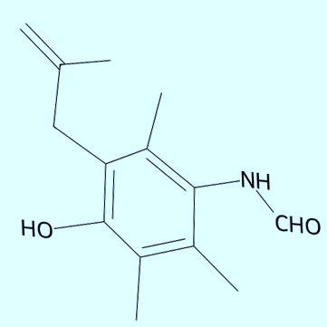 C=C(C)Cc1c(C)c(NC=O)c(C)c(C)c1O